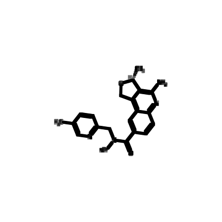 CCCN(Cc1ccc(C(F)(F)F)cn1)C(=O)c1ccc2nc(N)c3c(c2c1)CO[C@@H]3C